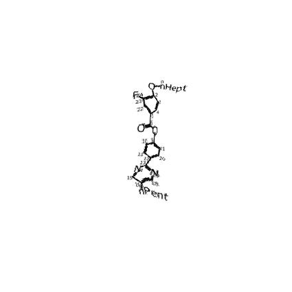 CCCCCCCOc1ccc(C(=O)Oc2ccc(-c3ncc(CCCCC)cn3)cc2)cc1F